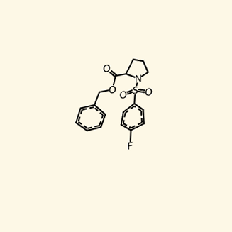 O=C(OCc1ccccc1)C1CCCN1S(=O)(=O)c1ccc(F)cc1